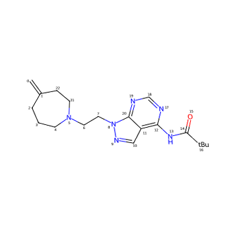 C=C1CCCN(CCn2ncc3c(NC(=O)C(C)(C)C)ncnc32)CC1